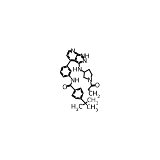 C=CC(=O)N1CCC(Nc2n[nH]c3nccc(-c4cccc(NC(=O)c5ccc(C(C)(C)C)cc5)c4)c23)C1